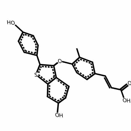 Cc1cc(C=CC(=O)O)ccc1Oc1c(-c2ccc(O)cc2)sc2cc(O)ccc12